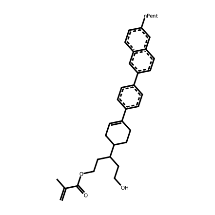 C=C(C)C(=O)OCCC(CCO)C1CC=C(c2ccc(-c3ccc4cc(CCCCC)ccc4c3)cc2)CC1